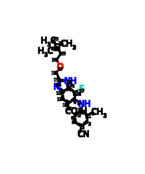 Cc1cc(C#N)ccc1Nc1c(C(=O)O)cc2nc(COCC[Si](C)(C)C)[nH]c2c1F